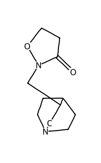 O=C1CCON1CC1CN2CCC1CC2